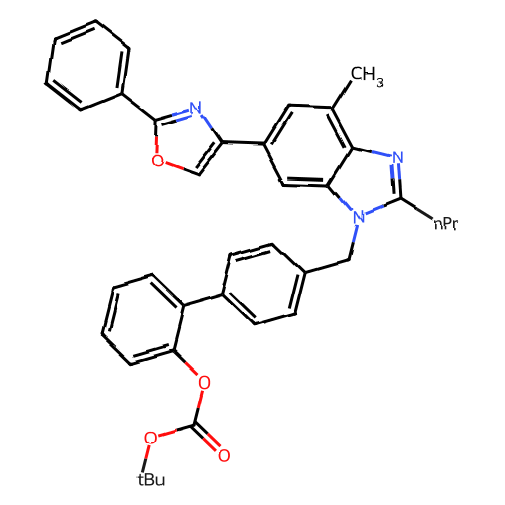 CCCc1nc2c(C)cc(-c3coc(-c4ccccc4)n3)cc2n1Cc1ccc(-c2ccccc2OC(=O)OC(C)(C)C)cc1